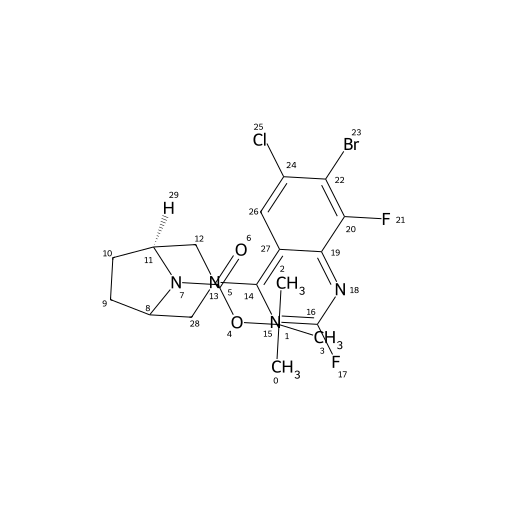 CC(C)(C)OC(=O)N1C2CC[C@H]1CN(c1nc(F)nc3c(F)c(Br)c(Cl)cc13)C2